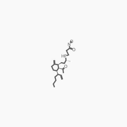 C=CC(CCCC)[C@H]1CCC(=C)[C@@H](CC[C@@H](C)PCCC(=O)N=O)[C@H]1C(C)=O